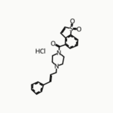 Cl.O=C(c1cccc2c1C=CS2(=O)=O)N1CCN(C/C=C/c2ccccc2)CC1